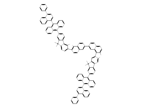 CC1(C)c2cc(-c3c4ccccc4c(-c4ccc(-c5ccccc5)c5ccccc45)c4ccccc34)ccc2-c2cc3oc4ccc5ccc(-c6ccc7c(ccc8c9ccc%10c(c9oc78)-c7ccc(-c8c9ccccc9c(-c9ccc(-c%11ccccc%11)c%11ccccc9%11)c9ccccc89)cc7C%10(C)C)c6)cc5c4c3cc21